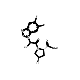 CNC(=O)[C@@H]1C[C@@H](O)CN1C(=O)C(C(C)C)n1nnc2cc(F)c(F)cc21